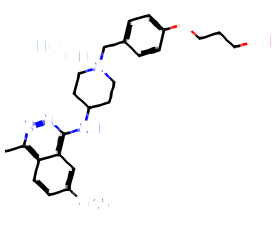 COc1ccc2c(C)nnc(NC3CCN(Cc4ccc(OCCCO)cc4)CC3)c2c1.Cl.Cl